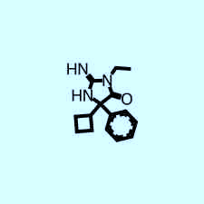 CCN1C(=N)NC(c2ccccc2)(C2CCC2)C1=O